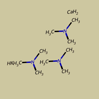 CN(C)C.CN(C)C.CN(C)C.[CaH2].[KH]